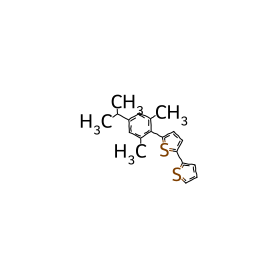 Cc1cc(C(C)C)cc(C)c1-c1ccc(-c2cccs2)s1